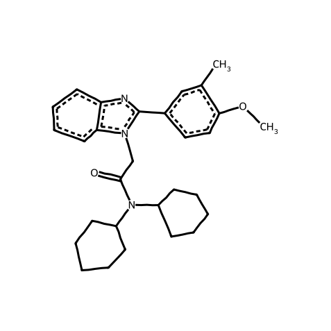 COc1ccc(-c2nc3ccccc3n2CC(=O)N(C2CCCCC2)C2CCCCC2)cc1C